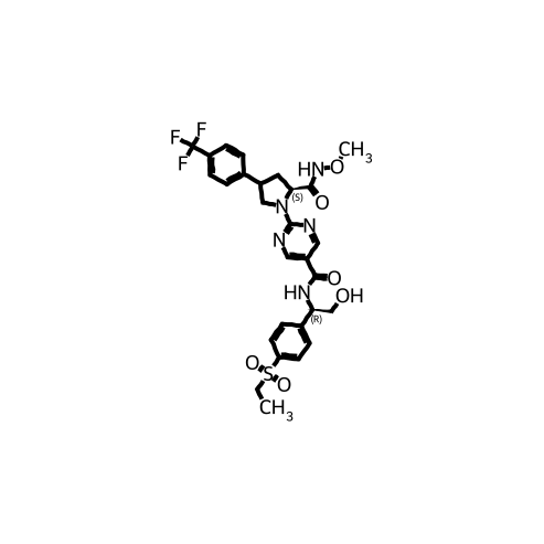 CCS(=O)(=O)c1ccc([C@H](CO)NC(=O)c2cnc(N3CC(c4ccc(C(F)(F)F)cc4)C[C@H]3C(=O)NOC)nc2)cc1